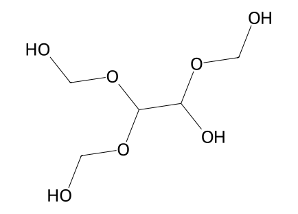 OCOC(O)C(OCO)OCO